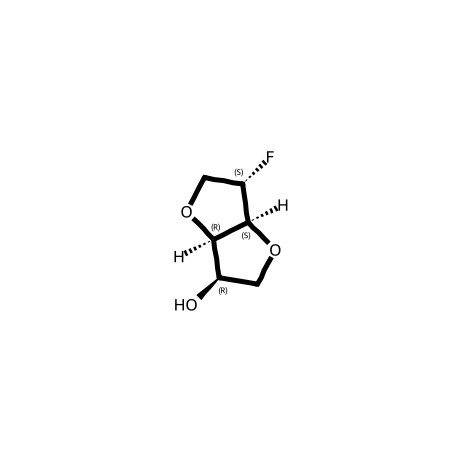 O[C@@H]1CO[C@H]2[C@@H]1OC[C@@H]2F